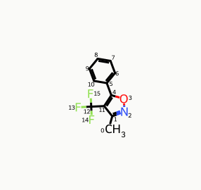 Cc1noc(-c2ccccc2)c1C(F)(F)F